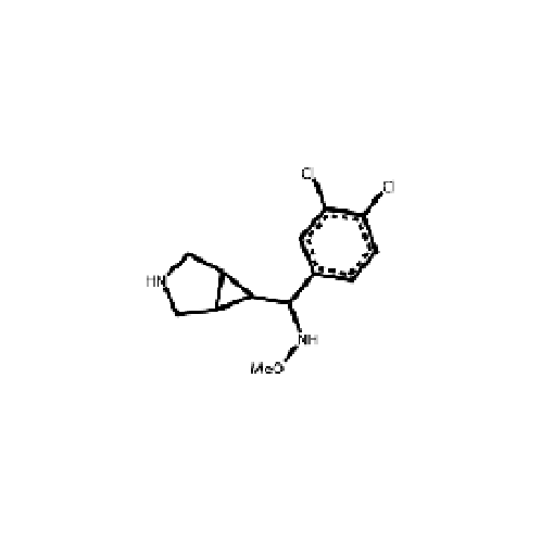 CONC(c1ccc(Cl)c(Cl)c1)C1C2CNCC21